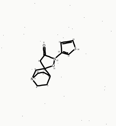 O=C1CC2(CN3CCC2CC3)ON1c1ccsc1